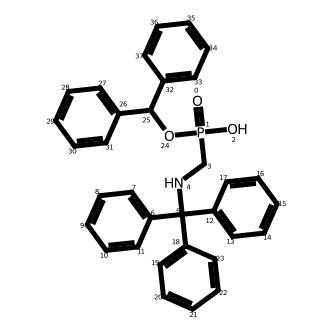 O=P(O)(CNC(c1ccccc1)(c1ccccc1)c1ccccc1)OC(c1ccccc1)c1ccccc1